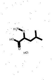 CC(C)CC(ON)C(=O)O.Cl